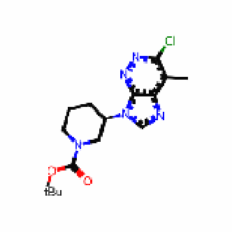 Cc1c(Cl)nnc2c1ncn2[C@@H]1CCCN(C(=O)OC(C)(C)C)C1